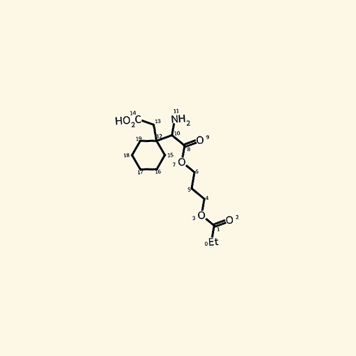 CCC(=O)OCCCOC(=O)C(N)C1(CC(=O)O)CCCCC1